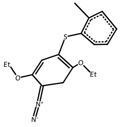 CCOC1=CC(Sc2ccccc2C)=C(OCC)CC1=[N+]=[N-]